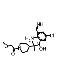 COCC(=O)N1CCC(C(C)(C)[C@H](O)c2cc(Cl)cc(C=N)c2N)CC1